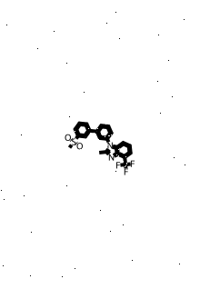 Cc1nc2c(C(F)(F)F)cccc2n1-c1cccc(-c2cccc(S(C)(=O)=O)c2)c1